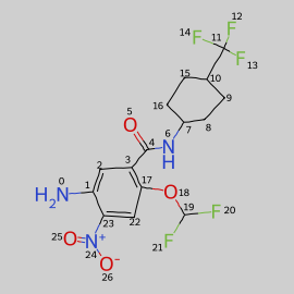 Nc1cc(C(=O)NC2CCC(C(F)(F)F)CC2)c(OC(F)F)cc1[N+](=O)[O-]